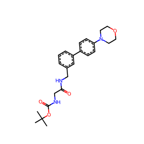 CC(C)(C)OC(=O)NCC(=O)NCc1cccc(-c2ccc(N3CCOCC3)cc2)c1